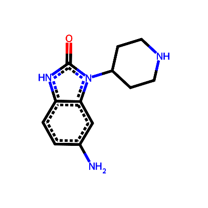 Nc1ccc2[nH]c(=O)n(C3CCNCC3)c2c1